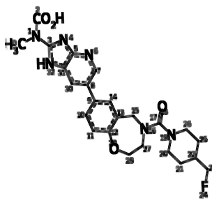 CN(C(=O)O)c1nc2ncc(-c3ccc4c(c3)CN(C(=O)N3CCC(CF)CC3)CCO4)cc2[nH]1